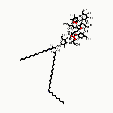 CCCCCCCC/C=C\CCCCCCCCCCCCCCCC(=O)N[C@@H](CO[C@@H]1OC(CO)[C@@H](O[C@@H]2OC(CO)[C@H](O[C@@H]3OC(CO)[C@H](O)[C@H](O[C@@H]4OC(CO)[C@H](O)[C@H](O[C@H]5OC(CO)[C@H](O)[C@H](O)C5O)C4O[C@H]4OC(C)[C@@H](O)C(O)[C@@H]4O)C3NC(C)=O)[C@H](O[C@]3(C(=O)O)CC(O)[C@@H](NC(C)=O)C([C@H](O)[C@H](O)CO)O3)C2O)[C@H](O)C1O)[C@H](O)/C=C/CCCCCCCCCCCCC